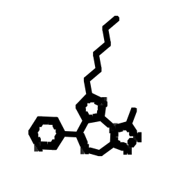 CCCCCCc1cc2c(s1)-n1c(C)nnc1CN=C2c1cccnc1